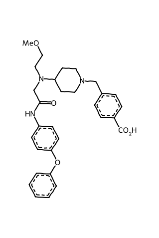 COCCN(CC(=O)Nc1ccc(Oc2ccccc2)cc1)C1CCN(Cc2ccc(C(=O)O)cc2)CC1